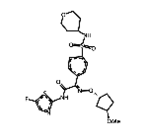 CO[C@@H]1CC[C@@H](O/N=C(/C(=O)Nc2ncc(F)s2)c2ccc(S(=O)(=O)NC3CCOCC3)cc2)C1